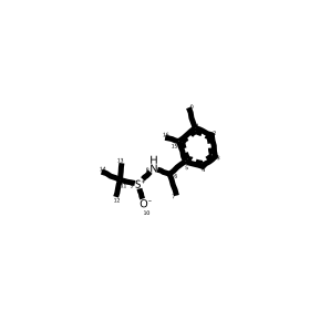 Cc1cccc(C(C)N[S+]([O-])C(C)(C)C)c1C